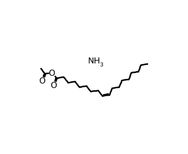 CCCCCCCC/C=C\CCCCCCCC(=O)OC(C)=O.N